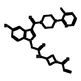 C=CC(=O)N1CC(NC(=O)Cn2cc(C(=O)N3CCN(c4ncccc4C)CC3)c3cc(Br)ccc32)C1